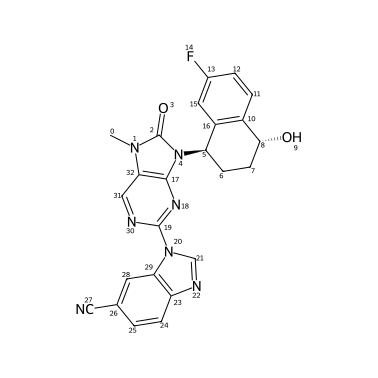 Cn1c(=O)n([C@@H]2CC[C@@H](O)c3ccc(F)cc32)c2nc(-n3cnc4ccc(C#N)cc43)ncc21